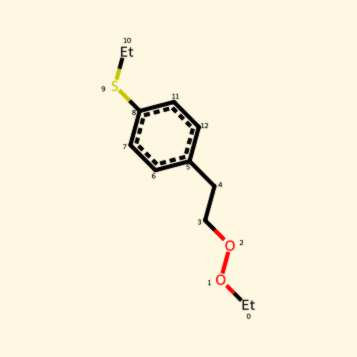 CCOOCCc1ccc(SCC)cc1